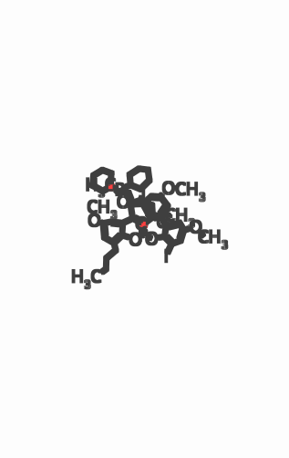 CCCCc1cc(OC)cc(-c2cc(OC)cc(I)c2OP(C2CCCCC2)C2CCCCC2)c1Op1oc2c(I)cc(OC)cc2c2cc(OC)cc(CCCC)c2o1